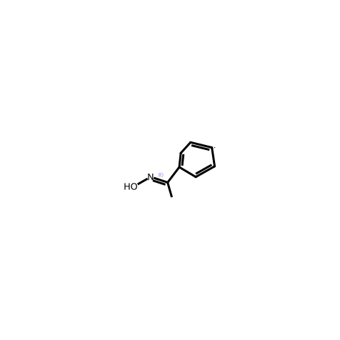 C/C(=N\O)c1cc[c]cc1